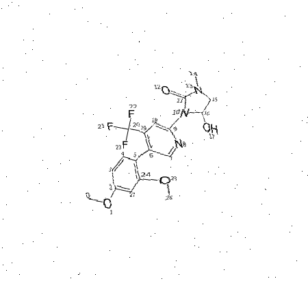 COc1ccc(-c2cnc(N3C(=O)N(C)CC3O)cc2C(F)(F)F)c(OC)c1